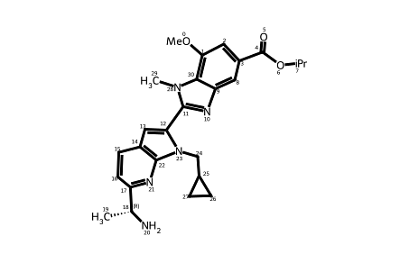 COc1cc(C(=O)OC(C)C)cc2nc(-c3cc4ccc([C@@H](C)N)nc4n3CC3CC3)n(C)c12